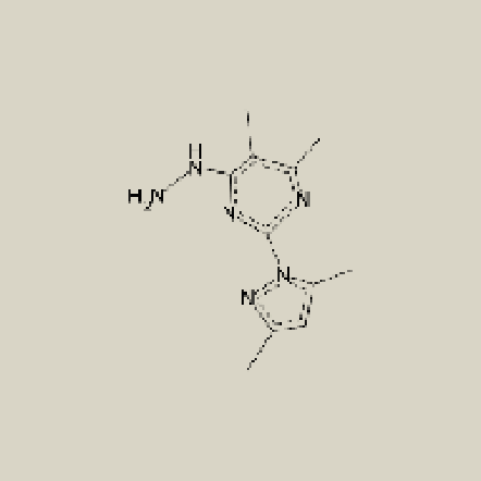 Cc1cc(C)n(-c2nc(C)c(C)c(NN)n2)n1